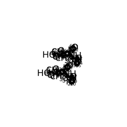 CC(CC(C)(C)O)N1Cc2cc(NC(=O)c3cnn4cccnc34)c(N3CCOCC3)cc2C1=O.CC(CC(C)(C)O)N1Cc2cc(NC(=O)c3cnn4cccnc34)c(N3CCOCC3)cc2C1=O